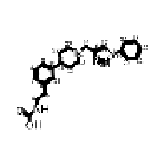 O=C(O)NCCc1cccc(C2CCN(Cc3cn(-c4ccccc4)nn3)CC2)c1